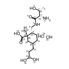 C[C@@H](O)[C@H](N)C(=O)NC[C@@H]1CC[C@@H](CCB(O)O)C[C@]1(N)C(=O)O.Cl.Cl